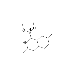 CO[SiH](OC)C1NC(C)CC2CCC(C)CC21